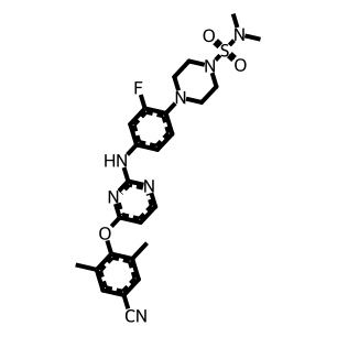 Cc1cc(C#N)cc(C)c1Oc1ccnc(Nc2ccc(N3CCN(S(=O)(=O)N(C)C)CC3)c(F)c2)n1